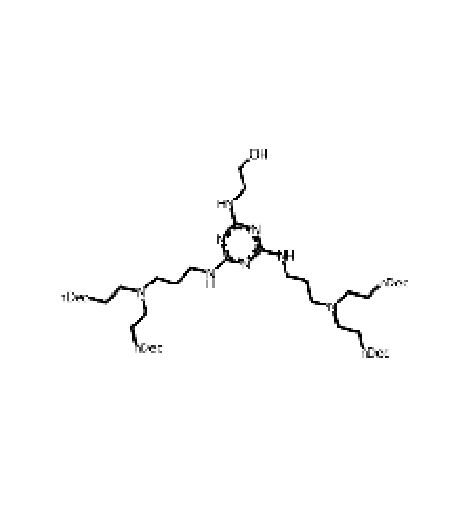 CCCCCCCCCCCCN(CCCCCCCCCCCC)CCCNc1nc(NCCO)nc(NCCCN(CCCCCCCCCCCC)CCCCCCCCCCCC)n1